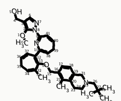 COc1c(CO)cnn1C1=NC(C2=C(OCc3ccc4c(c3C)CCN(CC(C)(C)C)C4)C(C)=CCC=C2)=CCC=C1